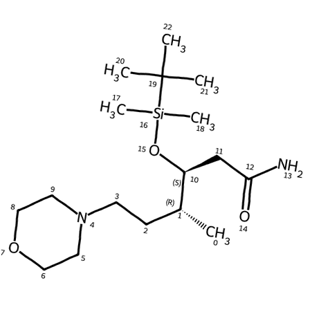 C[C@H](CCN1CCOCC1)[C@H](CC(N)=O)O[Si](C)(C)C(C)(C)C